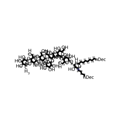 CCCCCCCCCCCCC/C=C/[C@@H](O)[C@H](CO[C@@H]1OC(CO)[C@@H](O[C@@H]2OC(CO)[C@H](O)[C@H](O[C@@H]3OC(CO)[C@@H](O[C@@H]4OC(CO)[C@H](O)[C@H](O[C@@H]5OC(CO)[C@@H](O[C@H]6OC(C)[C@@H](O)C(O)[C@@H]6O)[C@H](O)C5NC(C)=O)C4O)[C@H](O[C@H]4OC(C)[C@@H](O)C(O)[C@@H]4O)C3NC(C)=O)C2O)[C@H](O)C1O)NC(=O)CCCCCCCCCCCCCCCCC